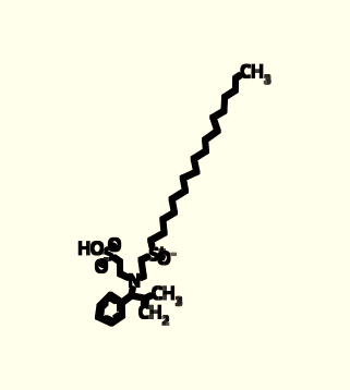 C=C(C)C(c1ccccc1)N(CC[S+]([O-])CCCCCCCCCCCCCCCCCC)CCS(=O)(=O)O